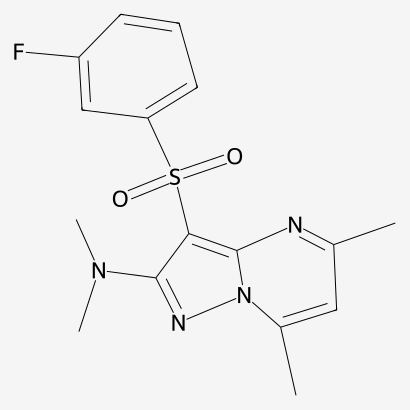 Cc1cc(C)n2nc(N(C)C)c(S(=O)(=O)c3cccc(F)c3)c2n1